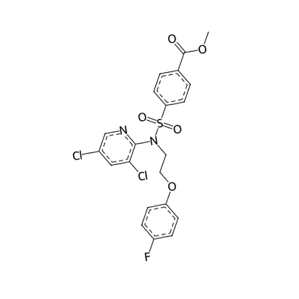 COC(=O)c1ccc(S(=O)(=O)N(CCOc2ccc(F)cc2)c2ncc(Cl)cc2Cl)cc1